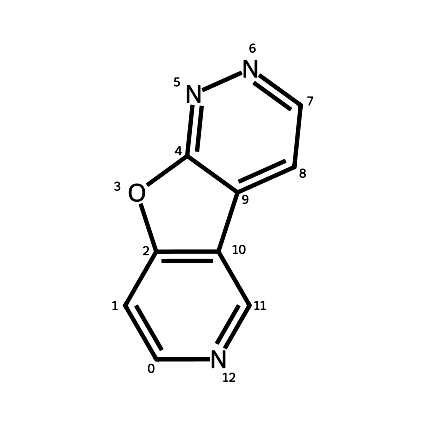 c1cc2oc3nnccc3c2cn1